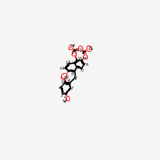 COc1ccc2c(c1)Cc1c(ccc3c4c(ccc13)OC(=O)OC(=O)O4)O2